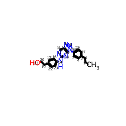 CCCc1ccc(-n2nnc3cnc(Nc4ccc(CCO)cc4)nc32)cc1